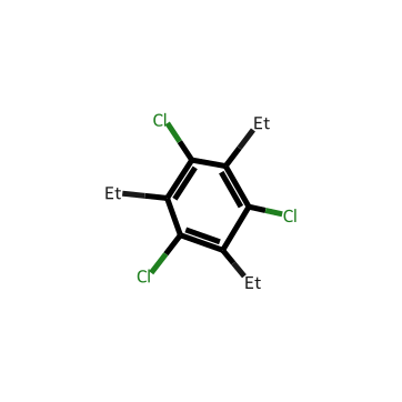 CCc1c(Cl)c(CC)c(Cl)c(CC)c1Cl